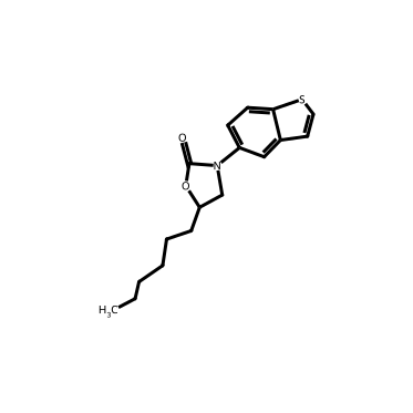 CCCCCCC1CN(c2ccc3sccc3c2)C(=O)O1